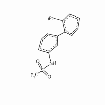 CC(C)c1ccccc1-c1cccc(NS(=O)(=O)C(F)(F)F)c1